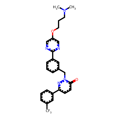 CN(C)CCCOc1cnc(-c2cccc(Cn3nc(-c4cccc(C(F)(F)F)c4)ccc3=O)c2)nc1